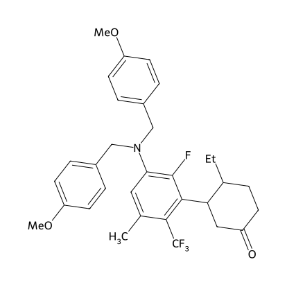 CCC1CCC(=O)CC1c1c(F)c(N(Cc2ccc(OC)cc2)Cc2ccc(OC)cc2)cc(C)c1C(F)(F)F